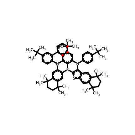 CC(C)(C)c1ccc(N2c3cc(C(C)(C)C)cc4c3B(c3cc5c(cc3N4c3ccc(C(C)(C)C)cc3-c3ccccc3)C(C)(C)CCC5(C)C)c3sc4cc5c(cc4c32)C(C)(C)CCC5(C)C)cc1